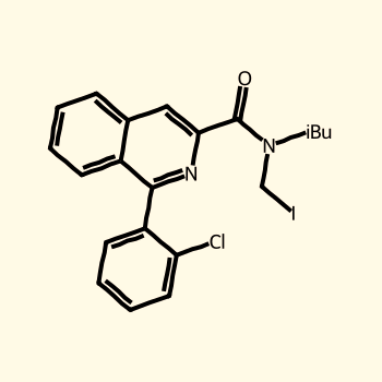 CCC(C)N(CI)C(=O)c1cc2ccccc2c(-c2ccccc2Cl)n1